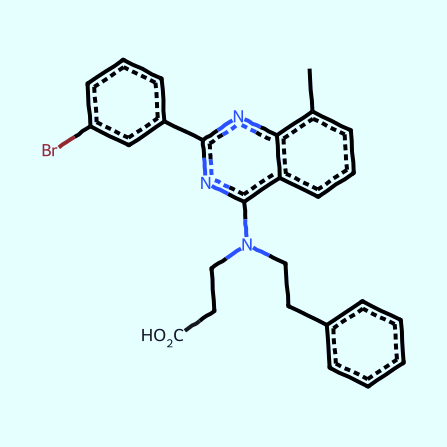 Cc1cccc2c(N(CCC(=O)O)CCc3ccccc3)nc(-c3cccc(Br)c3)nc12